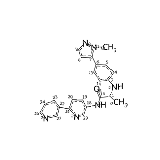 CC(Nc1ccc(-c2ccnn2C)cc1)C(=O)Nc1ccc(-c2cccnc2)nc1